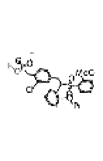 COc1ccccc1S(=O)(=O)[C](Cc1ccc(CP(=O)(OF)OF)c(Cl)c1)c1ccccc1OC(C)C